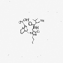 CCCCc1nc(Cl)c(CNC(=O)C(CS)C(C)C)n1Cc1ccc(C(=O)O)c2ccccc12